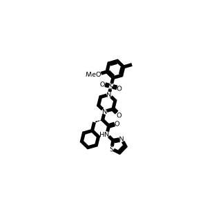 COc1ccc(C)cc1S(=O)(=O)N1CCN([C@@H](CC2CCCCC2)C(=O)Nc2nccs2)C(=O)C1